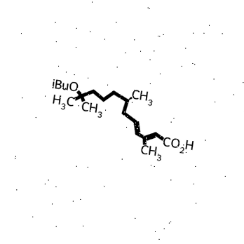 CC(C=CC[C@@H](C)CCCC(C)(C)OCC(C)C)=CC(=O)O